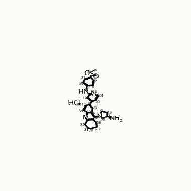 CS(=O)(=O)c1ccc(Nc2cc(-c3ccc4nc5c(c(N6CCC(N)C6)c4c3)CCCCC5)ccn2)cc1.Cl